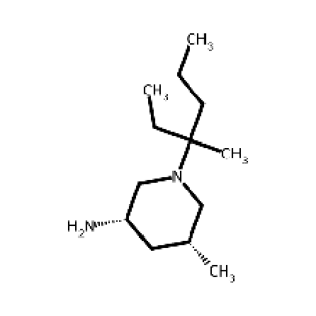 CCCC(C)(CC)N1C[C@H](C)C[C@H](N)C1